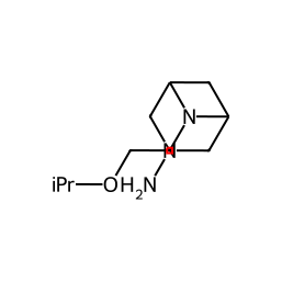 CC(C)OCCN1C2CC1CN(N)C2